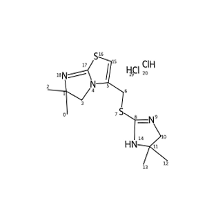 CC1(C)CN2C(CSC3=NCC(C)(C)N3)=CSC2=N1.Cl.Cl